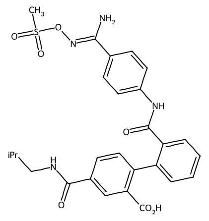 CC(C)CNC(=O)c1ccc(-c2ccccc2C(=O)Nc2ccc(C(N)=NOS(C)(=O)=O)cc2)c(C(=O)O)c1